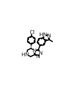 Cc1n[nH]c2ccc(-c3nnc4n3[C@H](c3ccc(Cl)cc3)CNC4)cc12